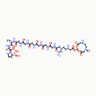 CCN1CCNCC(=O)OC(OC(=O)CNCCN(CN)CC(=O)NCC(=O)NCC(=O)NCC(=O)NCC(=O)NCC(=O)NCC(=O)N[C@H](C(=O)N[C@H](C)C(=O)N2CCC[C@H]2B(O)O)C(C)C)OC(=O)C1